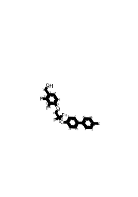 Cc1ccc(-c2ccc(OC(F)(F)COc3ccc(CO)c(F)c3F)cc2)cc1